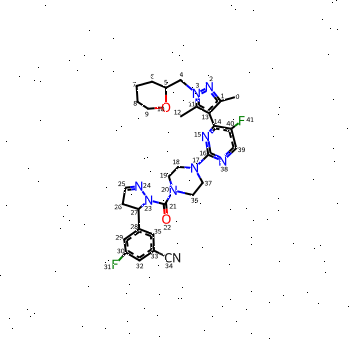 Cc1nn(CC2CCCCO2)c(C)c1-c1nc(N2CCN(C(=O)N3N=CCC3c3cc(F)cc(C#N)c3)CC2)ncc1F